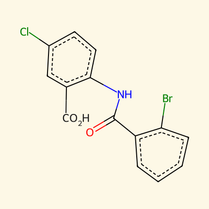 O=C(Nc1ccc(Cl)cc1C(=O)O)c1ccccc1Br